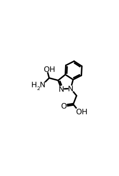 NC(O)c1nn(CC(=O)O)c2ccccc12